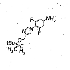 CC(C)(C)[Si](C)(C)OCc1cn(-c2c(F)cc(N)cc2F)cn1